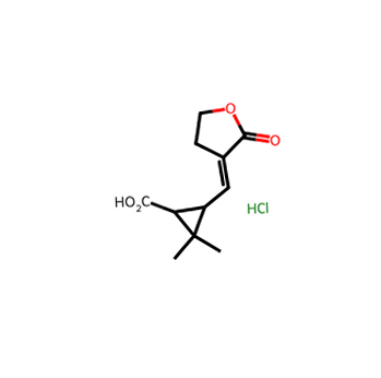 CC1(C)C(C=C2CCOC2=O)C1C(=O)O.Cl